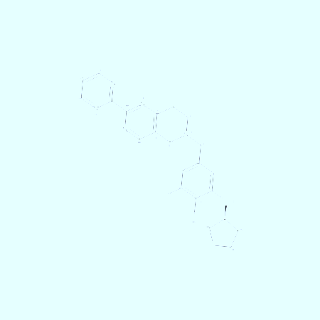 Fc1cc(CN2CCc3nc(-c4ncccn4)ncc3C2)cc(O[C@H]2CCOC2)c1F